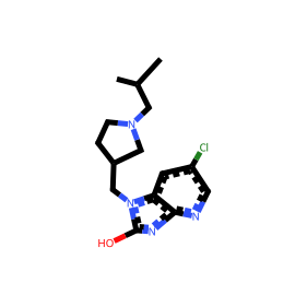 CC(C)CN1CCC(Cn2c(O)nc3ncc(Cl)cc32)C1